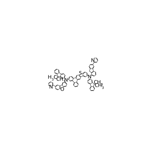 CC1(C)c2ccccc2-c2ccc(N(c3ccc4oc5ccc(-c6ccccn6)cc5c4c3)c3ccc4c(c3)c3ccccc3c3cc5c(cc43)sc3ccc(N(c4ccc6c(c4)C(C)(C)c4ccccc4-6)c4cccc6c4Cc4ccc(-c7ccccn7)cc4-6)cc35)cc21